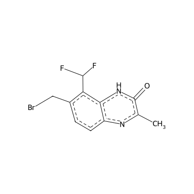 Cc1nc2ccc(CBr)c(C(F)F)c2[nH]c1=O